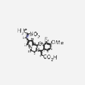 COc1ccc(C(CC(=O)O)N2CCn3cc(/C=C(/C)[N+](=O)[O-])cc3C2=O)cc1F